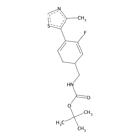 Cc1ncsc1C1=CCC(CNC(=O)OC(C)(C)C)C=C1F